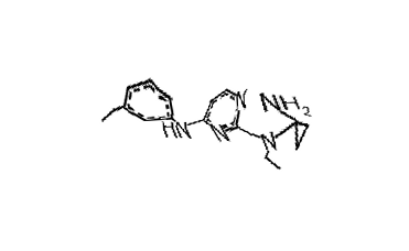 CCN(c1nccc(Nc2cccc(C)c2)n1)C1(N)CC1